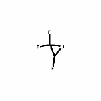 FC1OC1(F)F